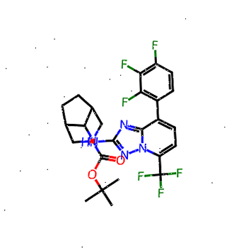 CC(C)(C)OC(=O)N1CC2CCC(C1)C2Nc1nc2c(-c3ccc(F)c(F)c3F)ccc(C(F)(F)F)n2n1